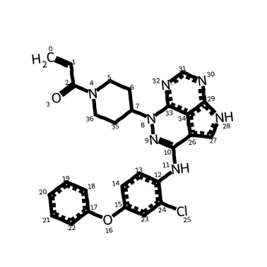 C=CC(=O)N1CCC(N2N=C(Nc3ccc(Oc4ccccc4)cc3Cl)c3c[nH]c4ncnc2c34)CC1